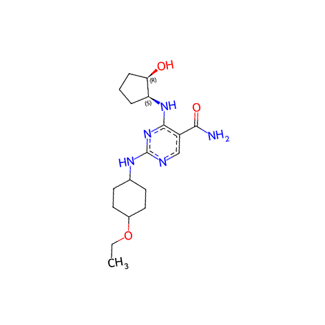 CCOC1CCC(Nc2ncc(C(N)=O)c(N[C@H]3CCC[C@H]3O)n2)CC1